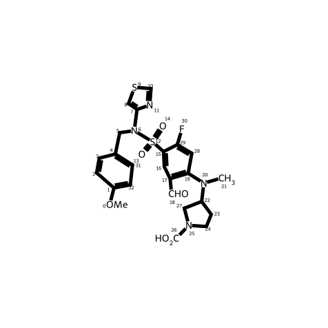 COc1ccc(CN(c2cscn2)S(=O)(=O)c2cc(C=O)c(N(C)C3CCN(C(=O)O)C3)cc2F)cc1